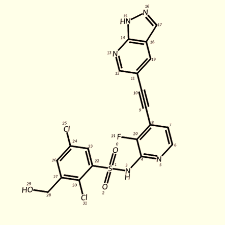 O=S(=O)(Nc1nccc(C#Cc2cnc3[nH]ncc3c2)c1F)c1cc(Cl)cc(CO)c1Cl